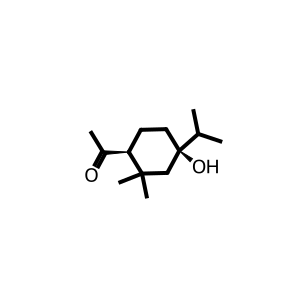 CC(=O)[C@H]1CC[C@](O)(C(C)C)CC1(C)C